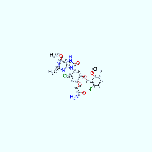 COc1cccc(F)c1COc1cc(-n2c(=O)[nH]c3c(OC)nc(C)nc32)c(Cl)cc1OCC(N)=O